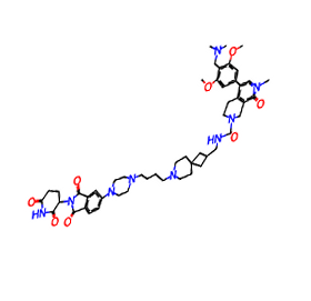 COc1cc(-c2cn(C)c(=O)c3c2CCN(C(=O)NCC2CC4(CCN(CCCCN5CCN(c6ccc7c(c6)C(=O)N(C6CCC(=O)NC6=O)C7=O)CC5)CC4)C2)C3)cc(OC)c1CN(C)C